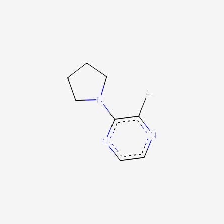 CC(=O)c1nccnc1N1CCCC1